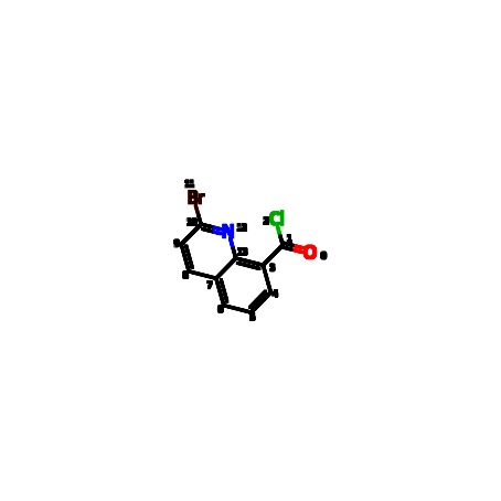 O=C(Cl)c1cccc2ccc(Br)nc12